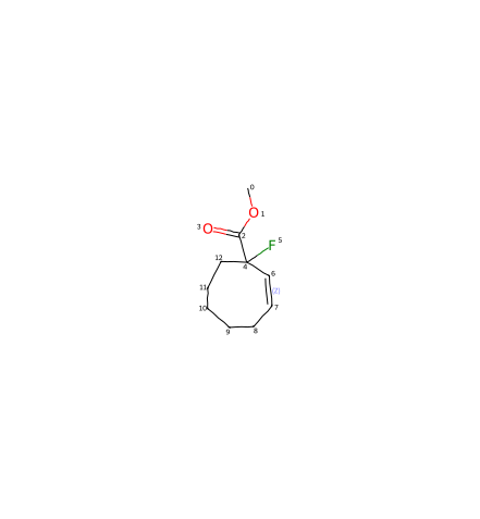 COC(=O)C1(F)/C=C\CCCCC1